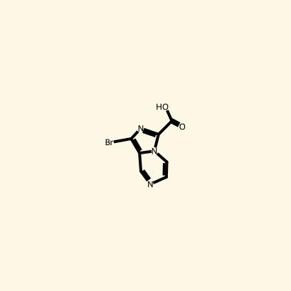 O=C(O)c1nc(Br)c2cnccn12